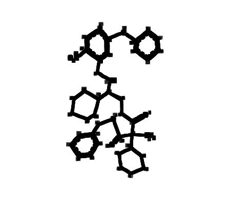 NC(C(=O)CC[C@H](NCc1cc(Oc2ccccc2)ncc1[N+](=O)[O-])C1CCCCC1)(C(=O)OCc1ccccc1)C1CCCCC1